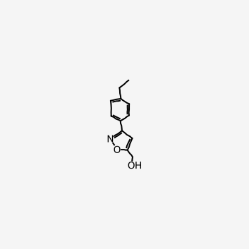 CCc1ccc(-c2cc(CO)on2)cc1